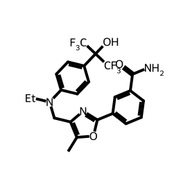 CCN(Cc1nc(-c2cccc(C(N)=O)c2)oc1C)c1ccc(C(O)(C(F)(F)F)C(F)(F)F)cc1